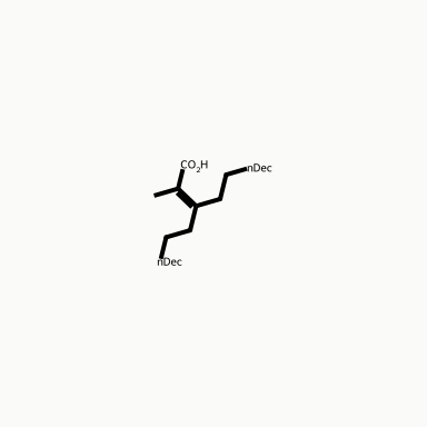 CCCCCCCCCCCCC(CCCCCCCCCCCC)=C(C)C(=O)O